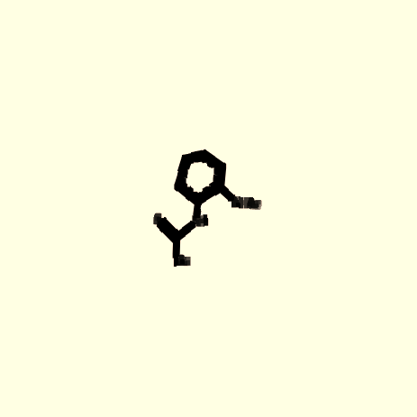 CCC(C)C(=S)Nc1ccccc1NC(C)=O